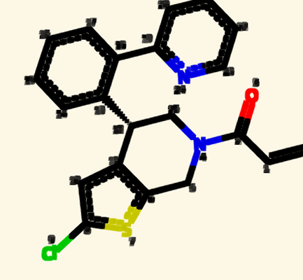 C=CC(=O)N1Cc2sc(Cl)cc2[C@H](c2ccccc2-c2ccccn2)C1